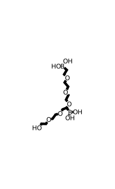 OCCOCCOCC(OCCOCCOCCB(O)O)B(O)O